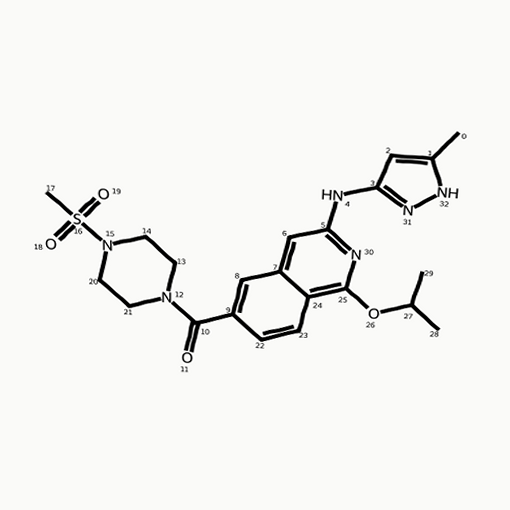 Cc1cc(Nc2cc3cc(C(=O)N4CCN(S(C)(=O)=O)CC4)ccc3c(OC(C)C)n2)n[nH]1